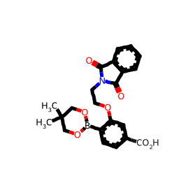 CC1(C)COB(c2ccc(C(=O)O)cc2OCCN2C(=O)c3ccccc3C2=O)OC1